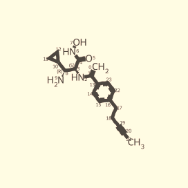 C=C(N[C@H](C(=O)NO)[C@H](N)C1CC1)c1ccc(CCC#CC)cc1